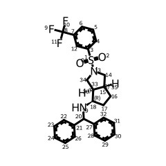 O=S(=O)(c1cccc(C(F)(F)F)c1)N1C[C@@H]2CC[C@@H](NC(c3ccccc3)c3ccccc3)[C@H]2C1